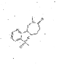 CN1CC(c2ncccc2S(C)(=O)=O)CCCC1=O